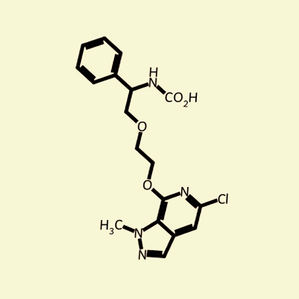 Cn1ncc2cc(Cl)nc(OCCOCC(NC(=O)O)c3ccccc3)c21